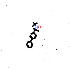 CC(C)(C)N(O)C(C)(C)c1ccc(-c2ccccc2)cc1